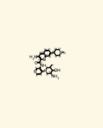 CC1CN(c2ccncc2NC(=O)c2nc3cc(C4CCN(C)CC4)ccc3cc2N)CC(N)C1O